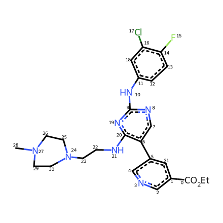 CCOC(=O)c1cncc(-c2cnc(Nc3ccc(F)c(Cl)c3)nc2NCCN2CCN(C)CC2)c1